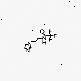 O=C(NCCCn1ccnc1)C(F)(F)F